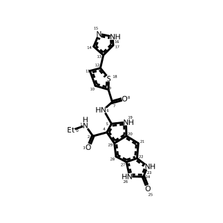 CCNC(=O)c1c(NC(=O)c2ccc(-c3cn[nH]c3)s2)[nH]c2cc3[nH]c(=O)[nH]c3cc12